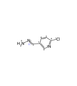 N/N=C/c1ccc(Cl)nc1